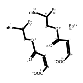 CCCCC(CC)COC(=O)/C=C\C(=O)[O-].CCCCC(CC)COC(=O)/C=C\C(=O)[O-].[Ba+2]